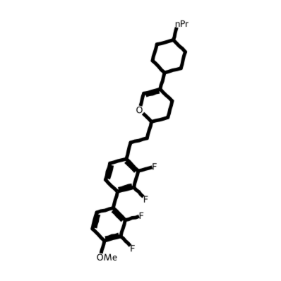 CCCC1CCC(C2=COC(CCc3ccc(-c4ccc(OC)c(F)c4F)c(F)c3F)CC2)CC1